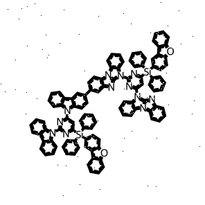 c1ccc([Si](c2ccccc2)(c2ccc3oc4ccccc4c3c2)c2cc(-n3c4ccccc4c4cc(-c5ccc6c(c5)nc5n(-c7nc(-n8c9ccccc9n9c%10ccccc%10nc89)cc([Si](c8ccccc8)(c8ccccc8)c8ccc9oc%10ccccc%10c9c8)n7)c7ccccc7n65)ccc43)nc(-n3c4ccccc4c4ccccc43)n2)cc1